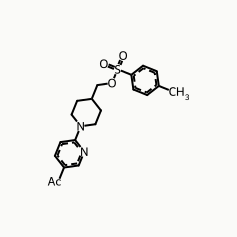 CC(=O)c1ccc(N2CCC(COS(=O)(=O)c3ccc(C)cc3)CC2)nc1